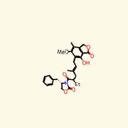 CCC(C/C(C)=C/Cc1c(O)c2c(c(C)c1OC)COC2=O)C(=O)N1C(=O)OC[C@@H]1Cc1ccccc1